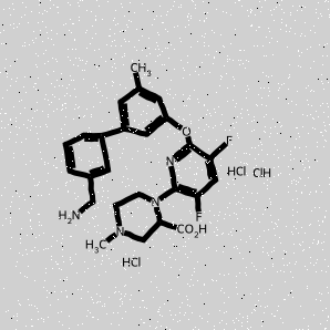 Cc1cc(Oc2nc(N3CCN(C)CC3C(=O)O)c(F)cc2F)cc(-c2cccc(CN)c2)c1.Cl.Cl.Cl